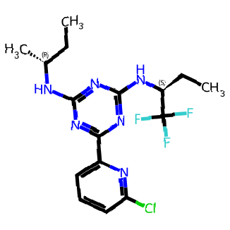 CC[C@@H](C)Nc1nc(N[C@@H](CC)C(F)(F)F)nc(-c2cccc(Cl)n2)n1